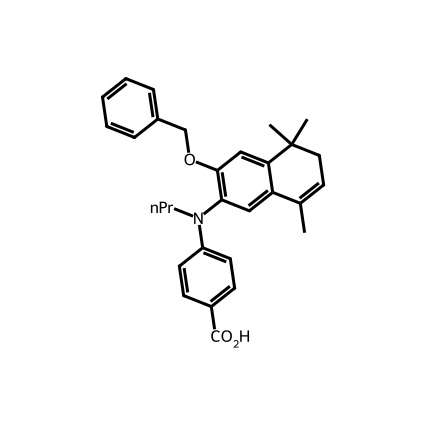 CCCN(c1ccc(C(=O)O)cc1)c1cc2c(cc1OCc1ccccc1)C(C)(C)CC=C2C